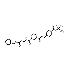 CC(C)(C)OC(=O)N1CCC(CCC(=O)N2CCC[C@@H](C(=O)NCCC(=O)OCc3ccccc3)C2)CC1